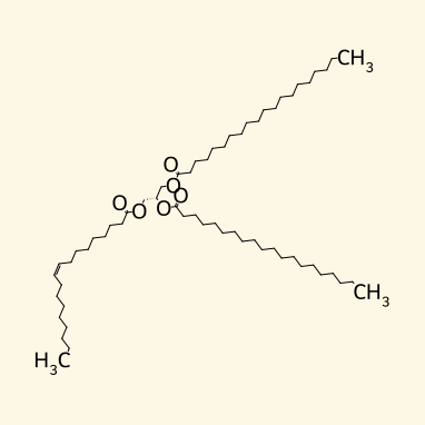 CCCCCCCC/C=C\CCCCCCCC(=O)OC[C@H](COC(=O)CCCCCCCCCCCCCCCCCCC)OC(=O)CCCCCCCCCCCCCCCCCCC